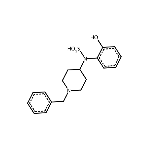 O=S(=O)(O)N(c1ccccc1O)C1CCN(Cc2ccccc2)CC1